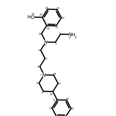 NCCN(CCCN1CCC(c2ccccc2)CC1)Cc1ccccc1O